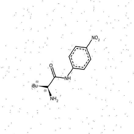 CC[C@H](C)[C@H](N)C(=O)Nc1ccc([N+](=O)[O-])cc1